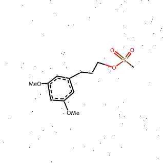 COc1cc(CCCOS(C)(=O)=O)cc(OC)c1